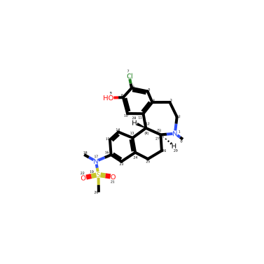 CN1CCc2cc(Cl)c(O)cc2[C@H]2c3ccc(N(C)S(C)(=O)=O)cc3CC[C@@H]21